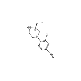 CC[C@H]1CN(c2ncc(C#N)cc2Cl)CCN1